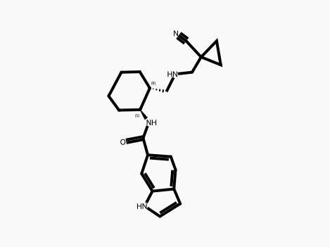 N#CC1(CNC[C@H]2CCCC[C@@H]2NC(=O)c2ccc3cc[nH]c3c2)CC1